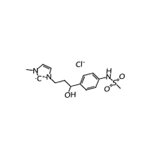 CN1[C+]N(CCC(O)c2ccc(NS(C)(=O)=O)cc2)C=C1.[Cl-]